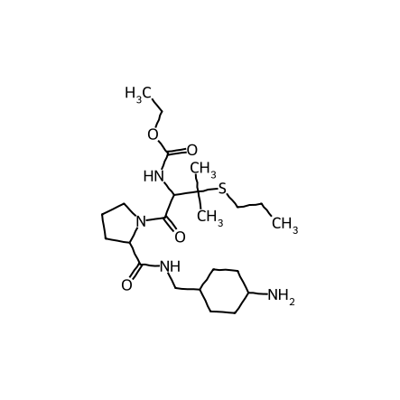 CCCSC(C)(C)C(NC(=O)OCC)C(=O)N1CCCC1C(=O)NCC1CCC(N)CC1